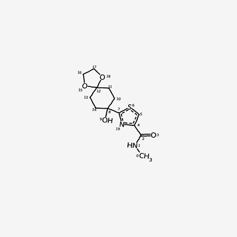 CNC(=O)c1csc(C2(O)CCC3(CC2)OCCO3)n1